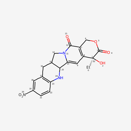 CC[C@@]1(O)C(=O)OCc2c1cc1n(c2=O)CC2Cc3cc([N+](=O)[O-])ccc3NC12